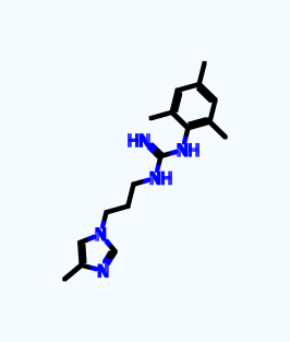 Cc1cc(C)c(NC(=N)NCCCn2cnc(C)c2)c(C)c1